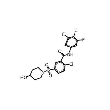 O=C(Nc1cc(F)c(F)c(F)c1)c1cc(S(=O)(=O)N2CCC(O)CC2)ccc1Cl